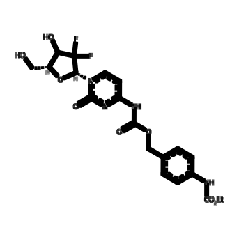 CCOC(=O)Nc1ccc(COC(=O)Nc2ccn([C@@H]3O[C@H](CO)C(O)C3(F)F)c(=O)n2)cc1